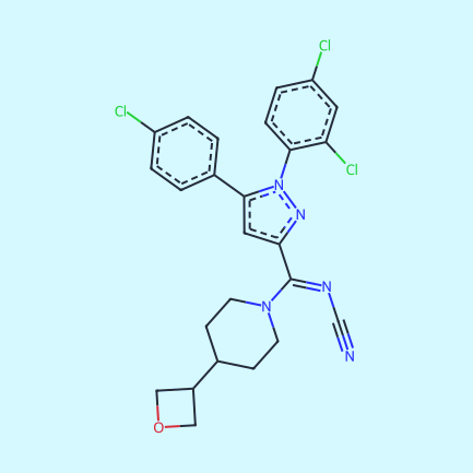 N#CN=C(c1cc(-c2ccc(Cl)cc2)n(-c2ccc(Cl)cc2Cl)n1)N1CCC(C2COC2)CC1